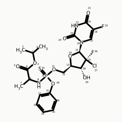 CC(C)OC(=O)C(C)NP(=S)(OC[C@H]1O[C@@H](n2cc(F)c(=O)[nH]c2=O)[C@@](F)(Cl)[C@@H]1O)Oc1ccccc1